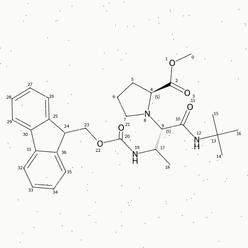 COC(=O)[C@@H]1CCCN1[C@H](C(=O)NC(C)(C)C)C(C)NC(=O)OCC1c2ccccc2-c2ccccc21